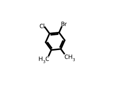 Cc1cc(Cl)c(Br)cc1C